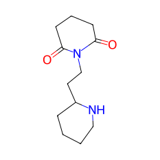 O=C1CCCC(=O)N1CCC1CCCCN1